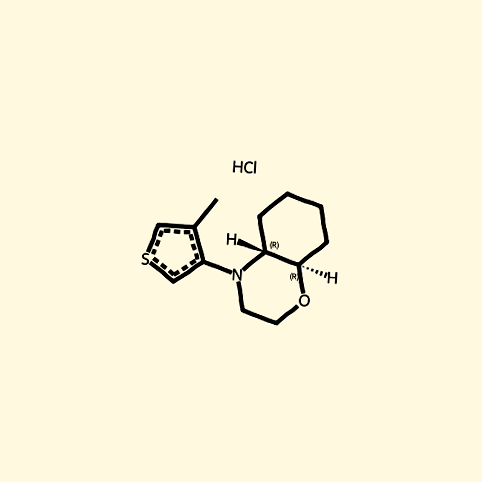 Cc1cscc1N1CCO[C@@H]2CCCC[C@H]21.Cl